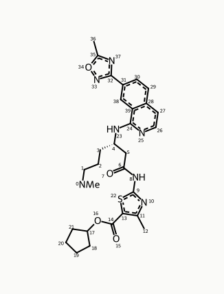 CNCCC[C@@H](CC(=O)Nc1nc(C)c(C(=O)OC2CCCC2)s1)Nc1nccc2ccc(-c3noc(C)n3)cc12